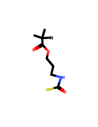 CCC(C)(C)C(=O)OCCCNC(=O)S